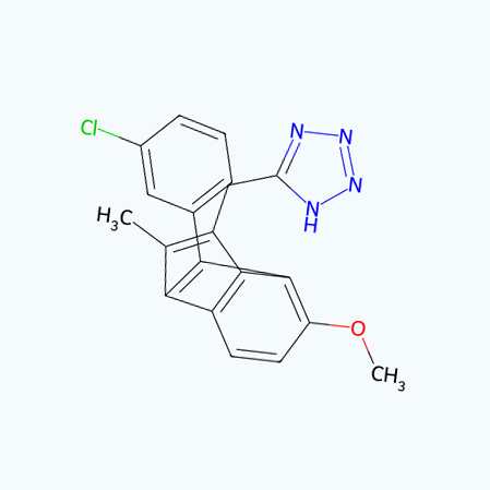 COc1ccc2c3c1C(c1cccc(Cl)c1)=C2C(C)=C3Cc1nnn[nH]1